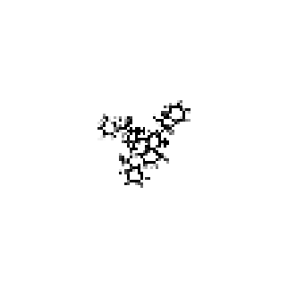 Cc1c(-c2cc(C(=O)NS(=O)(=O)N3CCOCC3)c3c(O[C@H](C)c4ccccc4)ccc(C)c3n2)sc2ccccc12